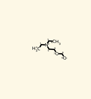 CCN(CC)CCOC[O]